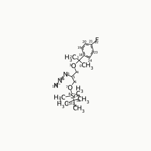 CC(C)(OCC(CO[Si](C)(C)C(C)(C)C)N=[N+]=[N-])c1ccc(F)cc1